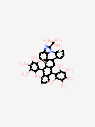 Bc1c(B)c(B)c(-c2c3ccccc3c(-c3c(B)c(B)c(B)c(B)c3B)c3cc(-c4ccccc4-n4c(C(B)(B)B)nc5ccccc54)ccc23)c(B)c1B